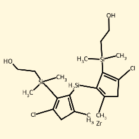 CC1=C([SiH2]C2=C(C)CC(Cl)=C2[Si](C)(C)CCO)C([Si](C)(C)CCO)=C(Cl)C1.[Zr]